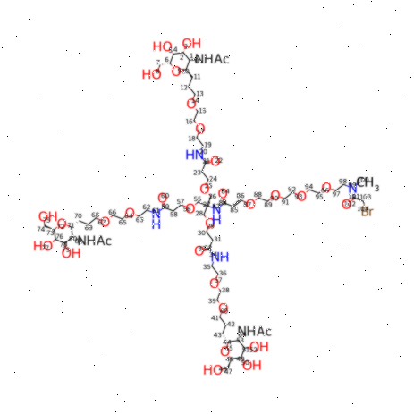 CC(=O)N[C@@H]1[C@@H](O)[C@@H](O)[C@@H](CO)O[C@@H]1CCCOCCOCCNC(=O)CCOCC(COCCC(=O)NCCOCCOCCC[C@H]1O[C@H](CO)[C@H](O)[C@H](O)[C@H]1NC(C)=O)(COCCC(=O)NCCOCCOCCC[C@H]1O[C@H](CO)[C@H](O)[C@H](O)[C@H]1NC(C)=O)NC(=O)C=COCCOCCOCCOCCN(C)C(=O)CBr